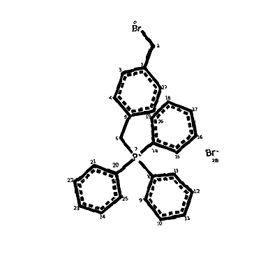 BrCc1ccc(C[P+](c2ccccc2)(c2ccccc2)c2ccccc2)cc1.[Br-]